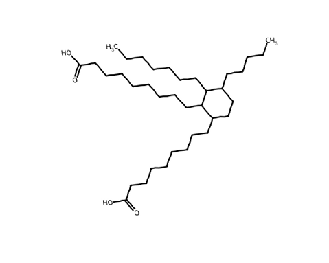 CCCCCCCC1C(CCCCC)CCC(CCCCCCCCC(=O)O)C1CCCCCCCCC(=O)O